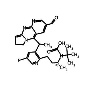 CC(C1=c2cc(C=O)cnc2=NC2=CCCN21)c1cc(F)cnc1CC[C@@H](C)N(C(=O)O)C(C)(C)C